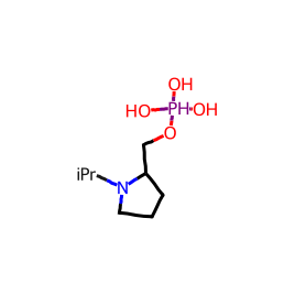 CC(C)N1CCCC1CO[PH](O)(O)O